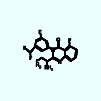 CCC(N)c1nc2cccc(F)c2c(=O)n1-c1cc(F)cc(C(F)F)c1